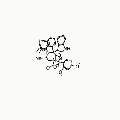 CCOc1ccccc1C1(C2CNc3ccccc32)C(=O)[N+](C(=O)[O-])(S(=O)(=O)c2ccc(OC)cc2OC)CC(C#N)N1c1ncccc1C